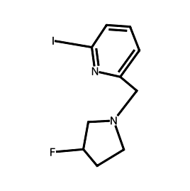 FC1CCN(Cc2cccc(I)n2)C1